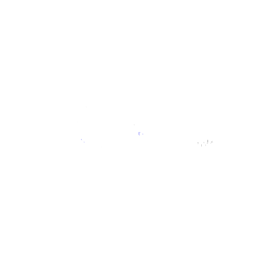 CNCCNC(=O)C1CC(C)(C)N(O)C1(C)C